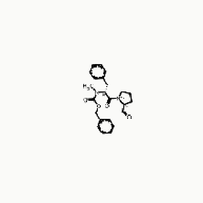 CN(C(=O)OCc1ccccc1)[C@H](Cc1ccccc1)C(=O)[N+]1CCC[C@H]1C=O